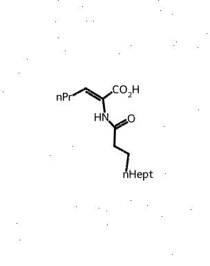 CCCC=C(NC(=O)CCCCCCCCC)C(=O)O